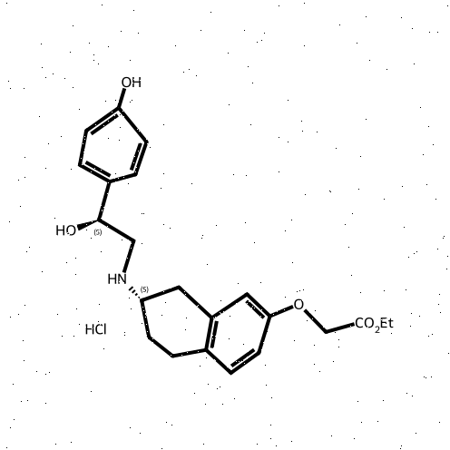 CCOC(=O)COc1ccc2c(c1)C[C@@H](NC[C@@H](O)c1ccc(O)cc1)CC2.Cl